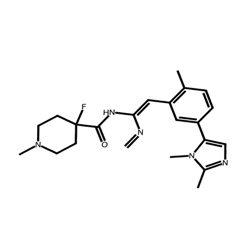 C=N/C(=C\c1cc(-c2cnc(C)n2C)ccc1C)NC(=O)C1(F)CCN(C)CC1